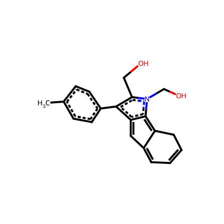 Cc1ccc(-c2c(CO)n(CO)c3c2=CC2=CC=CCC=32)cc1